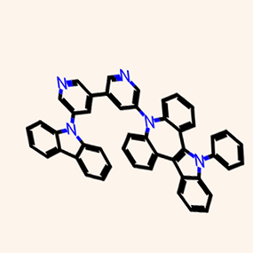 c1ccc(-n2c3c(c4ccccc42)-c2ccccc2N(c2cncc(-c4cncc(-n5c6ccccc6c6ccccc65)c4)c2)c2ccccc2-3)cc1